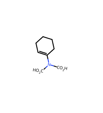 O=C(O)N(C(=O)O)C1=CCCCC1